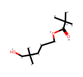 CC(C)(CO)CCCOC(=O)C(C)(C)C